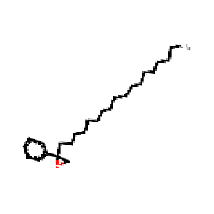 CCCCCCCCCCCCCCCCCCC1(c2ccccc2)CO1